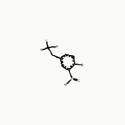 O=[N+]([O-])c1cc(CC(F)(F)F)ccc1Br